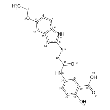 CCOc1ccc2[nH]c(SCC(=O)Nc3ccc(O)c(C(=O)O)c3)nc2c1